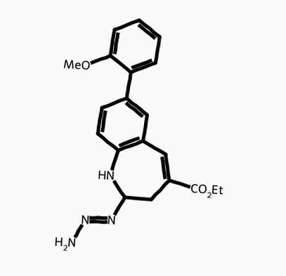 CCOC(=O)C1=Cc2cc(-c3ccccc3OC)ccc2NC(N=NN)C1